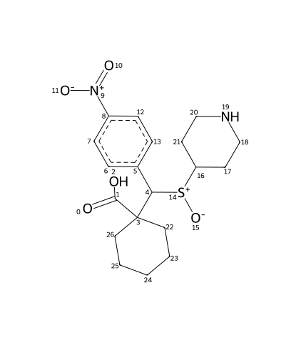 O=C(O)C1(C(c2ccc([N+](=O)[O-])cc2)[S+]([O-])C2CCNCC2)CCCCC1